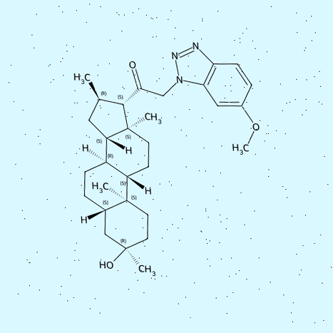 COc1ccc2nnn(CC(=O)[C@H]3[C@H](C)C[C@H]4[C@@H]5CC[C@H]6C[C@](C)(O)CC[C@]6(C)[C@H]5CC[C@@]43C)c2c1